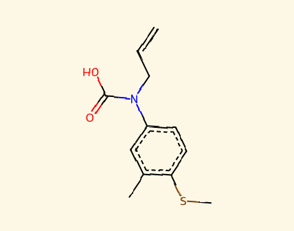 C=CCN(C(=O)O)c1ccc(SC)c(C)c1